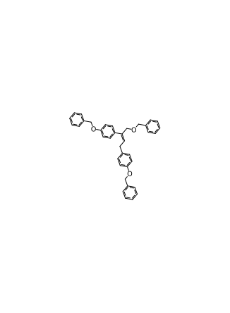 C(/Cc1ccc(OCc2ccccc2)cc1)=C(\COCc1ccccc1)c1ccc(OCc2ccccc2)cc1